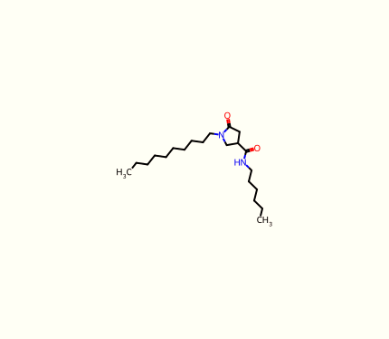 CCCCCCCCCCN1CC(C(=O)NCCCCCC)CC1=O